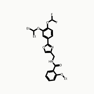 CCOc1ccccc1C(=O)NCc1coc(-c2ccc(OC(F)F)c(OC(CC)CC)c2)n1